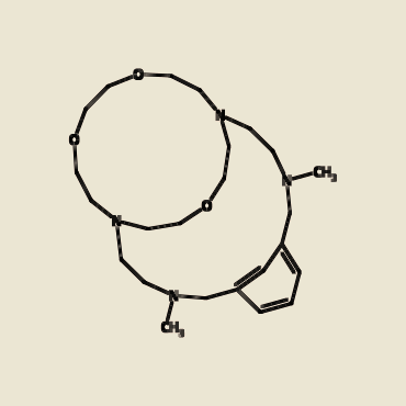 CN1CCN2CCOCCOCCN(CCOCC2)CCN(C)Cc2cccc(c2)C1